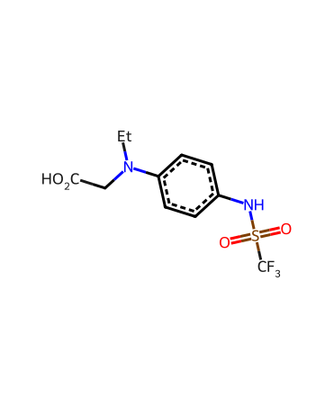 CCN(CC(=O)O)c1ccc(NS(=O)(=O)C(F)(F)F)cc1